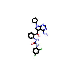 Nc1ncnc2c1c(C(=O)c1ccccc1NC(=O)Nc1ccc(F)cc1F)cn2C1CCCC1